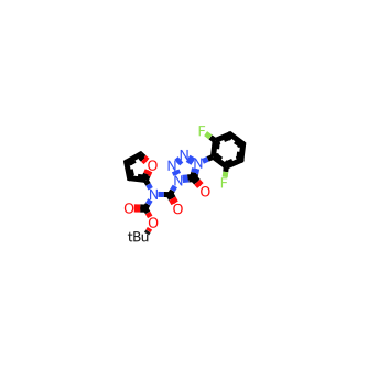 CC(C)(C)OC(=O)N(C(=O)n1nnn(-c2c(F)cccc2F)c1=O)c1ccco1